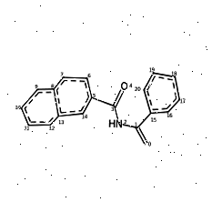 C=C(NC(=O)c1ccc2ccccc2c1)c1ccccc1